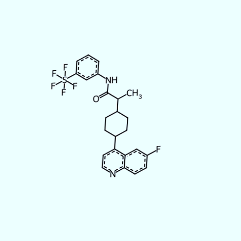 CC(C(=O)Nc1cccc(S(F)(F)(F)(F)F)c1)C1CCC(c2ccnc3ccc(F)cc23)CC1